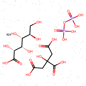 O=C(O)CC(O)(CC(=O)O)C(=O)O.O=C(O)[C@H](O)[C@@H](O)[C@H](O)[C@H](O)CO.O=P(O)(O)OP(=O)(O)O.[KH]